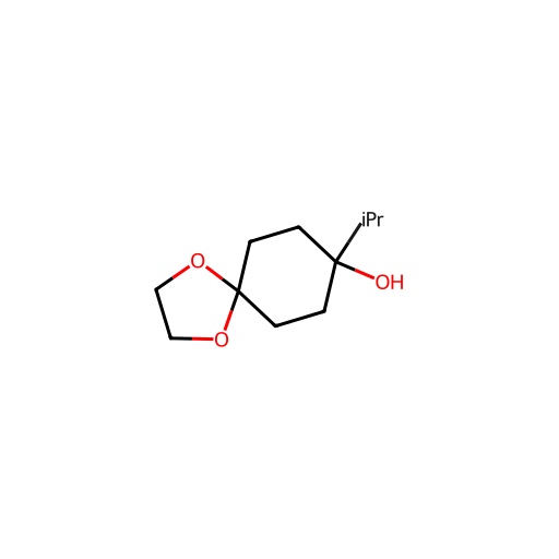 CC(C)C1(O)CCC2(CC1)OCCO2